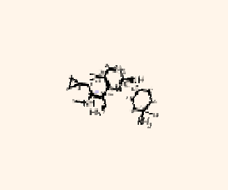 CN/C(CC1CC1)=C(\C=N)c1nc(N[C@H]2CC[C@@](C)(N)CC2)ncc1Cl